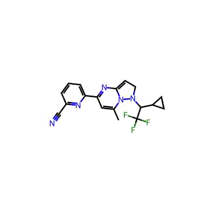 CC1=CC(c2cccc(C#N)n2)=NC2=CCN(C(C3CC3)C(F)(F)F)N12